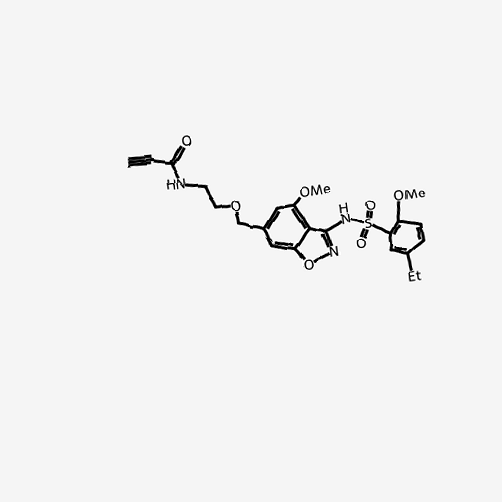 C#CC(=O)NCCOCc1cc(OC)c2c(NS(=O)(=O)c3cc(CC)ccc3OC)noc2c1